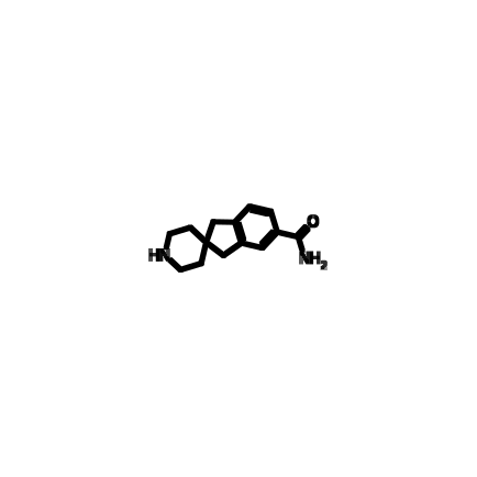 NC(=O)c1ccc2c(c1)CC1(CCNCC1)C2